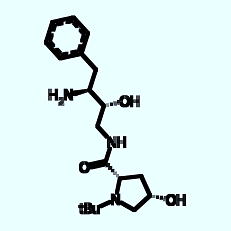 CC(C)(C)N1C[C@@H](O)C[C@H]1C(=O)NC[C@@H](O)[C@@H](N)Cc1ccccc1